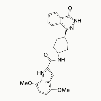 COc1ccc(OC)c2[nH]c(C(=O)N[C@H]3CC[C@H](c4n[nH]c(=O)c5ccccc54)CC3)cc12